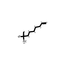 C=CCCCCCC(C)(F)C(C)=O